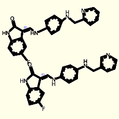 O=C1Nc2ccc(F)cc2/C1=C\Nc1ccc(NCc2ccccn2)cc1.O=C1Nc2ccc(F)cc2/C1=C\Nc1ccc(NCc2cccnc2)cc1